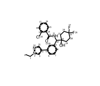 CCn1cc(-c2cccc(C(NC(=O)c3ccccc3Cl)C3(O)CCC(F)(F)CC3)c2)cn1